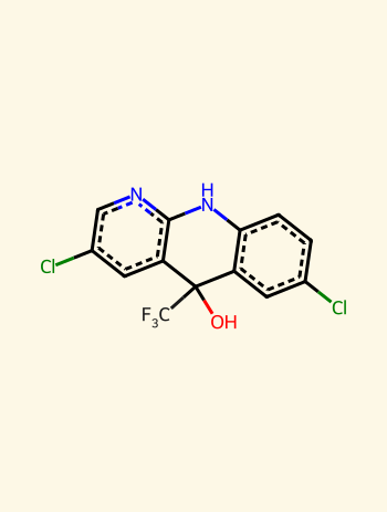 OC1(C(F)(F)F)c2cc(Cl)ccc2Nc2ncc(Cl)cc21